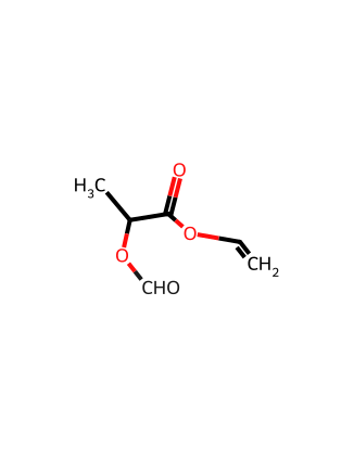 C=COC(=O)C(C)OC=O